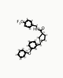 O=C(NCc1ccc(C(F)(F)F)cc1)C1CCN(Cc2cccc(Oc3ccccc3)c2)C1